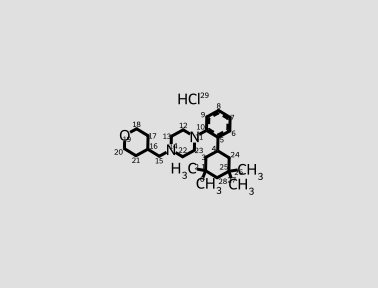 CC1(C)CC(c2ccccc2N2CCN(CC3CCOCC3)CC2)CC(C)(C)C1.Cl